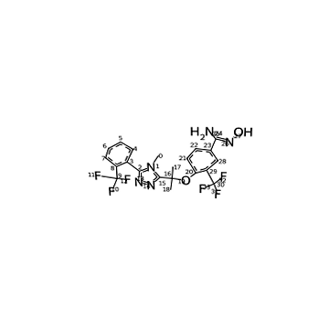 Cn1c(-c2ccccc2C(F)(F)F)nnc1C(C)(C)Oc1ccc(C(N)=NO)cc1C(F)(F)F